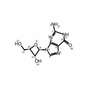 Nc1nc2c(ncn2[C@@H]2O[C@H](CO)[C@H]2O)c(=O)[nH]1